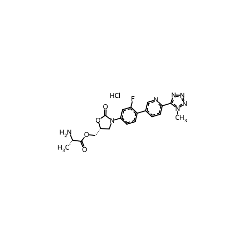 C[C@H](N)C(=O)OC[C@H]1CN(c2ccc(-c3ccc(-c4nnnn4C)nc3)c(F)c2)C(=O)O1.Cl